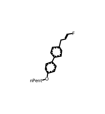 CCCCCOc1ccc(-c2ccc(CC=CF)cc2)cc1